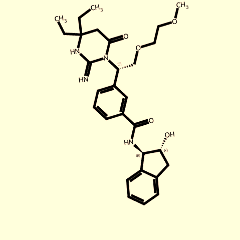 CCC1(CC)CC(=O)N([C@H](COCCOC)c2cccc(C(=O)N[C@@H]3c4ccccc4C[C@H]3O)c2)C(=N)N1